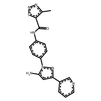 Cc1nnsc1C(=O)Nc1ccc(-n2nc(-c3cccnc3)cc2N)cc1